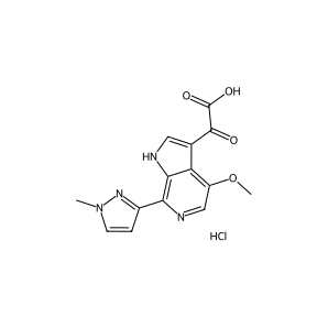 COc1cnc(-c2ccn(C)n2)c2[nH]cc(C(=O)C(=O)O)c12.Cl